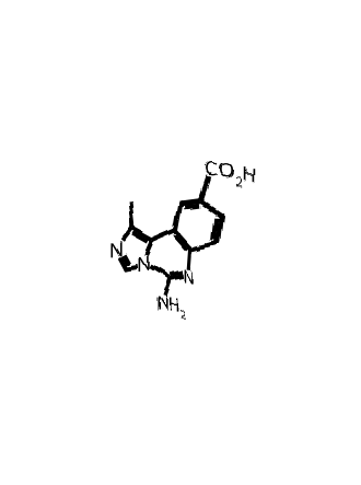 Cc1ncn2c(N)nc3ccc(C(=O)O)cc3c12